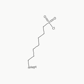 CCCCCCCCCCCCCCS(=O)(=O)Cl